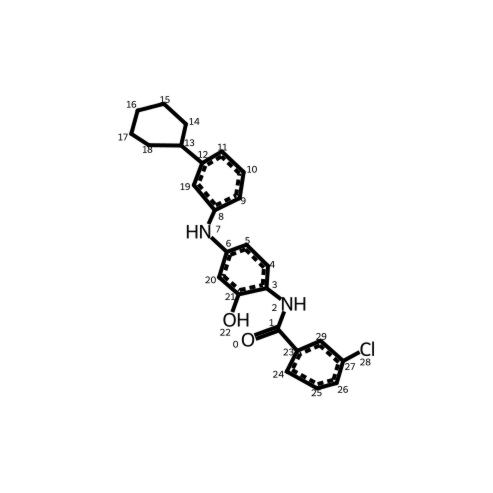 O=C(Nc1ccc(Nc2cccc(C3CCCCC3)c2)cc1O)c1cccc(Cl)c1